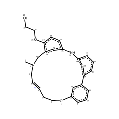 CN1C/C=C/CCOc2cccc(c2)-c2ccnc(n2)Nc2ccc(OCCO)c(c2)C1